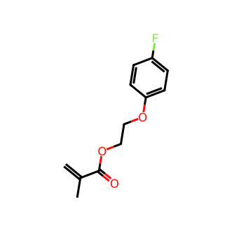 C=C(C)C(=O)OCCOc1ccc(F)cc1